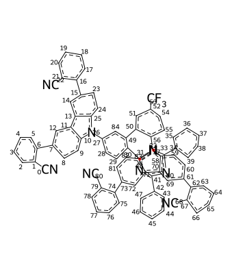 N#Cc1ccccc1-c1ccc2c(c1)c1cc(-c3ccccc3C#N)ccc1n2-c1ccc(-c2nc(-c3ccccc3)nc(-c3ccccc3)n2)c(-c2cc(C(F)(F)F)ccc2-n2c3ccc(-c4ccccc4C#N)cc3c3cc(-c4ccccc4C#N)ccc32)c1